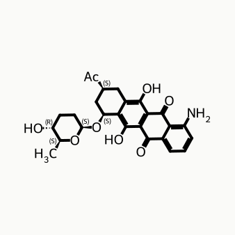 CC(=O)[C@H]1Cc2c(O)c3c(c(O)c2[C@@H](O[C@@H]2CC[C@@H](O)[C@H](C)O2)C1)C(=O)c1cccc(N)c1C3=O